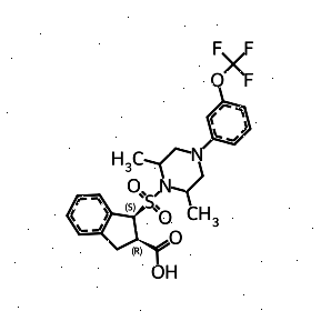 CC1CN(c2cccc(OC(F)(F)F)c2)CC(C)N1S(=O)(=O)[C@@H]1c2ccccc2C[C@@H]1C(=O)O